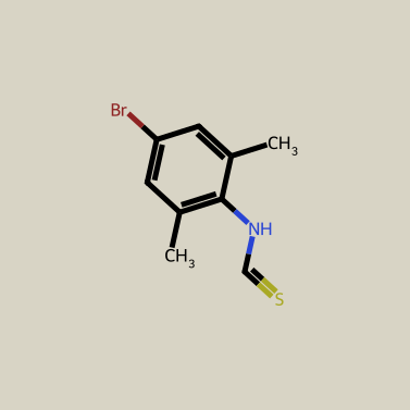 Cc1cc(Br)cc(C)c1NC=S